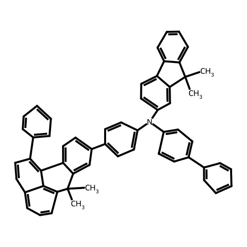 CC1(C)c2ccccc2-c2ccc(N(c3ccc(-c4ccccc4)cc3)c3ccc(-c4ccc5c(c4)C(C)(C)c4cccc6ccc(-c7ccccc7)c-5c46)cc3)cc21